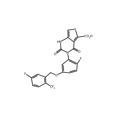 O=C(O)c1scc2[nH]c(=O)n(-c3cc(OCc4cc(F)ccc4C(F)(F)F)ccc3F)c(=O)c12